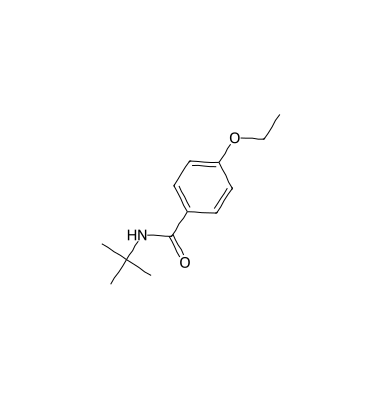 CCOc1ccc(C(=O)NC(C)(C)C)cc1